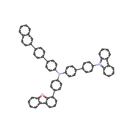 c1ccc2cc(-c3ccc(-c4ccc(N(c5ccc(-c6ccc(-n7c8ccccc8c8ccccc87)cc6)cc5)c5ccc(-c6cccc7c6oc6ccccc67)cc5)cc4)cc3)ccc2c1